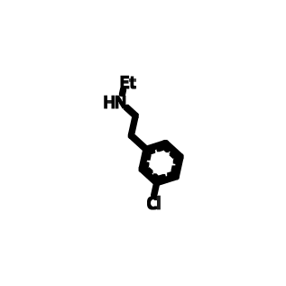 CCNCCc1cccc(Cl)c1